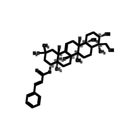 CC1(C)C[C@@H]2C3=CC[C@@H]4[C@@]5(C)CC[C@H](O)[C@@](C)(CO)C5CC[C@@]4(C)[C@]3(C)CC[C@@]2(C)[C@H](OC(=O)C=Cc2ccccc2)C1